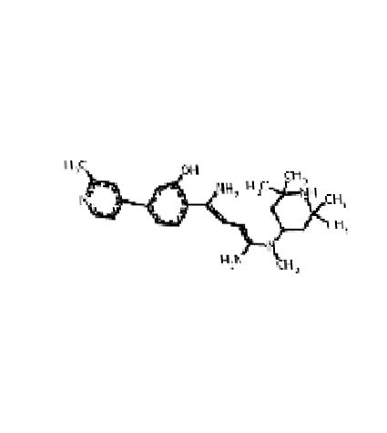 Cc1cc(-c2ccc(/C(N)=C/C=C(\N)N(C)C3CC(C)(C)NC(C)(C)C3)c(O)c2)ccn1